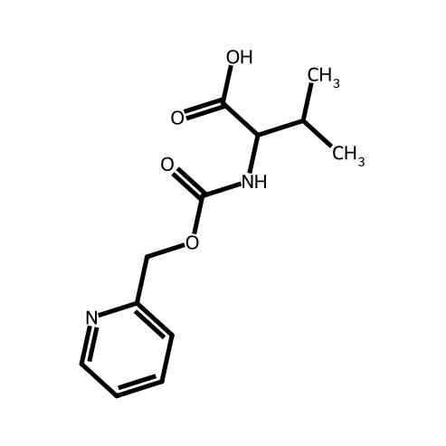 CC(C)C(NC(=O)OCc1ccccn1)C(=O)O